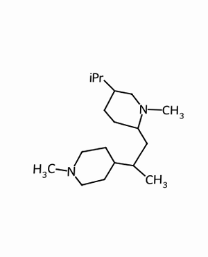 CC(C)C1CCC(CC(C)C2CCN(C)CC2)N(C)C1